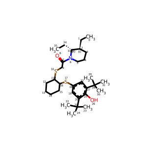 CC[C@H]1CCCN(C(=O)CSC2CCCCC2Sc2cc(C(C)(C)C)c(O)c(C(C)(C)C)c2)[C@@H]1CC